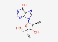 C#C[C@@H]1[C@H](n2cnc3c(O)ncnc32)O[C@](C#C)(CO)[C@H]1O